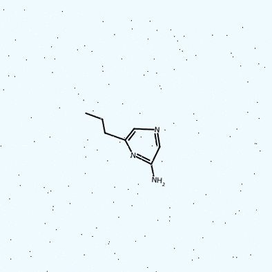 CCCc1cncc(N)n1